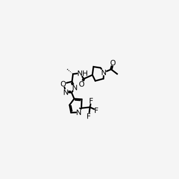 CC(=O)N1CCC(C(=O)N[C@@H](C)c2nc(-c3ccnc(C(F)(F)F)c3)no2)CC1